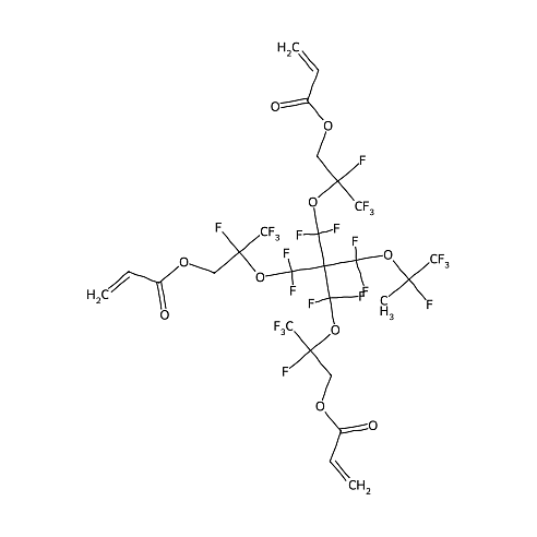 C=CC(=O)OCC(F)(OC(F)(F)C(C(F)(F)OC(C)(F)C(F)(F)F)(C(F)(F)OC(F)(COC(=O)C=C)C(F)(F)F)C(F)(F)OC(F)(COC(=O)C=C)C(F)(F)F)C(F)(F)F